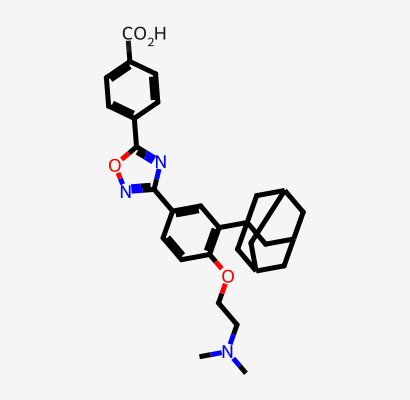 CN(C)CCOc1ccc(-c2noc(-c3ccc(C(=O)O)cc3)n2)cc1C12CC3CC(CC(C3)C1)C2